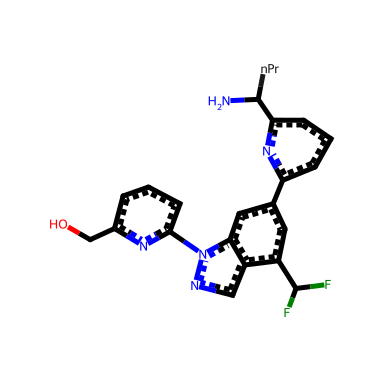 CCCC(N)c1cccc(-c2cc(C(F)F)c3cnn(-c4cccc(CO)n4)c3c2)n1